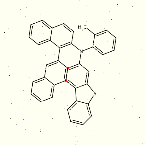 Cc1ccccc1N(c1ccc2c(c1)sc1ccccc12)c1ccc2ccccc2c1-c1ccc2ccccc2c1